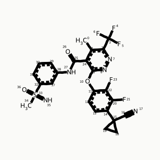 Cc1c(C(F)(F)F)nnc(Oc2ccc(C3(C#N)CC3)c(F)c2F)c1C(=O)Nc1cccc(S(C)(=N)=O)c1